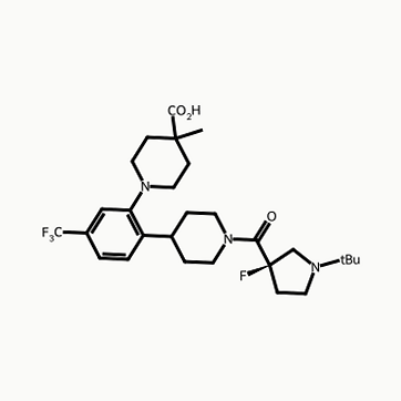 CC1(C(=O)O)CCN(c2cc(C(F)(F)F)ccc2C2CCN(C(=O)[C@@]3(F)CCN(C(C)(C)C)C3)CC2)CC1